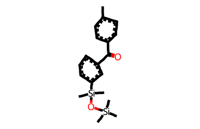 Cc1ccc(C(=O)c2cccc([Si](C)(C)O[Si](C)(C)C)c2)cc1